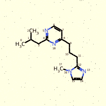 CC(C)Cc1nccc(CCCc2nccn2C)n1